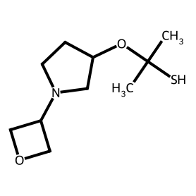 CC(C)(S)OC1CCN(C2COC2)C1